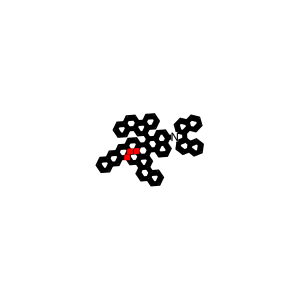 c1ccc2cc3cc4cc(C5=C(c6cc7c8ccccc8ccc7c7ccccc67)c6cccc7c(-n8c9ccc%10ccccc%10c9c9c%10ccccc%10ccc98)ccc(c67)C5c5cc6c7ccccc7ccc6c6ccccc56)ccc4cc3cc2c1